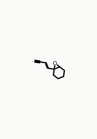 [C]#C/C=C/C12CCCCC1O2